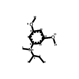 CCC(C)N(C)c1cc(OC)cc(OC)c1